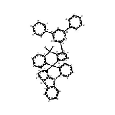 CC1(C)c2ccccc2C2(c3ccccc3-n3c4ccccc4c4cccc2c43)c2cccc(-c3nc(-c4ccccc4)cc(-c4ccccc4)n3)c21